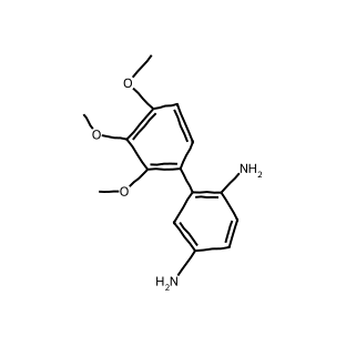 COc1ccc(-c2cc(N)ccc2N)c(OC)c1OC